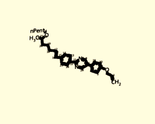 C=CCOc1ccc(-c2cnc(-c3ccc(C=CCCCC(C)OCCCCC)cc3)nc2)cc1